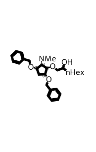 CCCCCCC(O)CO[C@@H]1[C@@H](NC)[C@H](OCc2ccccc2)C[C@@H]1OCc1ccccc1